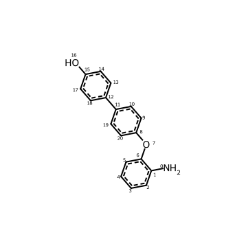 Nc1ccccc1Oc1ccc(-c2ccc(O)cc2)cc1